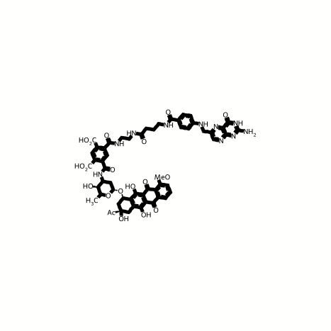 COc1cccc2c1C(=O)c1c(O)c3c(c(O)c1C2=O)C[C@@](O)(C(C)=O)C[C@@H]3O[C@H]1CC(NC(=O)c2cc(C(=O)NCCNC(=O)CCCNC(=O)c3ccc(NCc4cnc5nc(N)[nH]c(=O)c5n4)cc3)c(C(=O)O)cc2C(=O)O)[C@H](O)C(C)O1